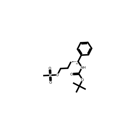 CC(C)(C)OC(=O)N[C@H](CCCOS(C)(=O)=O)c1ccccc1